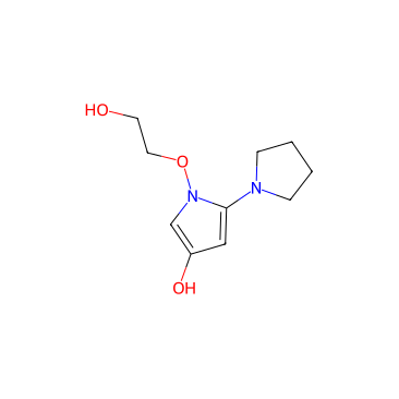 OCCOn1cc(O)cc1N1CCCC1